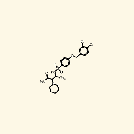 CC(NS(=O)(=O)c1ccc(OCc2ccc(Cl)c(Cl)c2)cc1)C(C(=O)O)N1CCCCC1